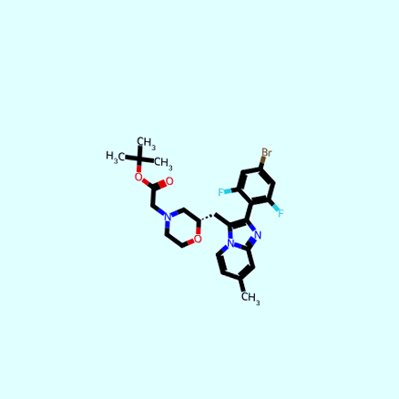 Cc1ccn2c(C[C@H]3CN(CC(=O)OC(C)(C)C)CCO3)c(-c3c(F)cc(Br)cc3F)nc2c1